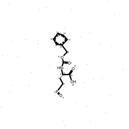 O=PCC[C@H](NC(=O)OCc1ccccc1)C(=O)O